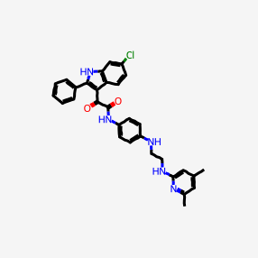 Cc1cc(C)nc(NCCNc2ccc(NC(=O)C(=O)c3c(-c4ccccc4)[nH]c4cc(Cl)ccc34)cc2)c1